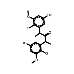 COc1cc(O)cc(C(C)C(=O)C(C)c2cc(O)cc(OC)c2Cl)c1Cl